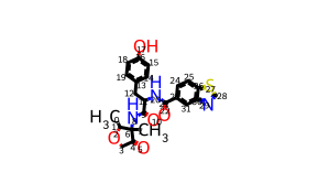 CC1OCC(=O)C1(C)NC(=O)C(Cc1ccc(O)cc1)NC(=O)c1ccc2scnc2c1